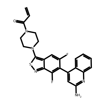 C=CC(=O)N1CCN(c2snc3c(F)c(-c4cc(N)nc5ccccc45)c(F)cc23)CC1